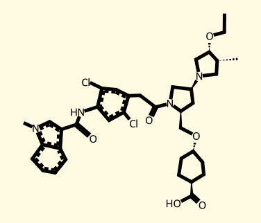 CCO[C@H]1CN([C@H]2C[C@@H](CO[C@H]3CC[C@H](C(=O)O)CC3)N(C(=O)Cc3cc(Cl)c(NC(=O)c4cn(C)c5ccccc45)cc3Cl)C2)C[C@H]1C